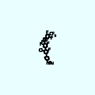 CCCCc1ccc(-c2cc(F)c(-c3cc(F)c(C(F)(F)Oc4cc(F)c(C(F)(F)F)c(F)c4)c(F)c3)c(Cl)c2)cc1